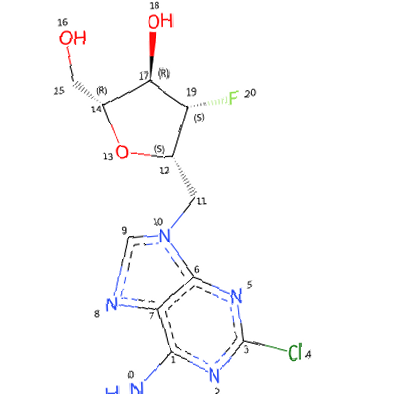 Nc1nc(Cl)nc2c1ncn2C[C@@H]1O[C@H](CO)[C@@H](O)[C@@H]1F